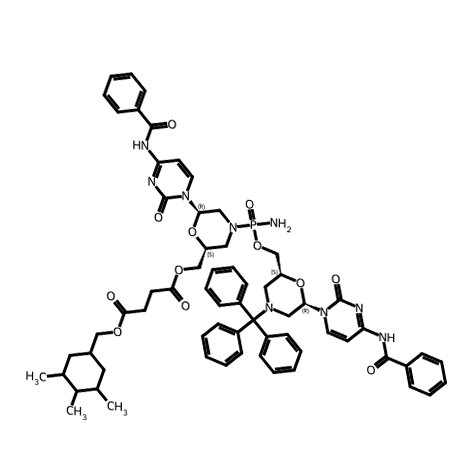 CC1CC(COC(=O)CCC(=O)OC[C@@H]2CN(P(N)(=O)OC[C@@H]3CN(C(c4ccccc4)(c4ccccc4)c4ccccc4)C[C@H](n4ccc(NC(=O)c5ccccc5)nc4=O)O3)C[C@H](n3ccc(NC(=O)c4ccccc4)nc3=O)O2)CC(C)C1C